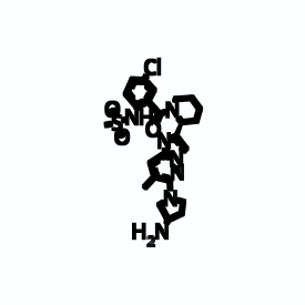 Cc1cc2nc([C@@H]3CCCCN3C(=O)c3cc(Cl)ccc3NS(C)(=O)=O)cn2nc1N1CCC(N)C1